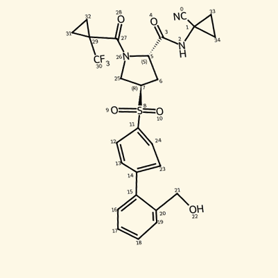 N#CC1(NC(=O)[C@@H]2C[C@@H](S(=O)(=O)c3ccc(-c4ccccc4CO)cc3)CN2C(=O)C2(C(F)(F)F)CC2)CC1